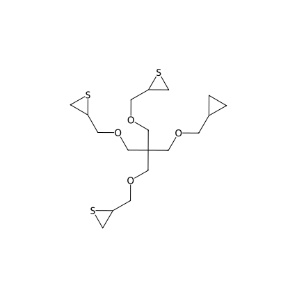 C1CC1COCC(COCC1CS1)(COCC1CS1)COCC1CS1